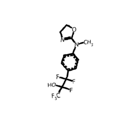 CN(C1=NCCO1)c1ccc(C(F)(F)C(O)(F)C(F)(F)F)cc1